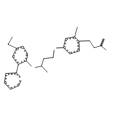 CCc1ccc(OC(C)CCOc2ccc(CCC(=O)O)c(C)c2)c(-c2ccccn2)c1